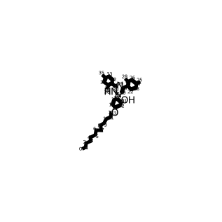 CCCCCCCCCCCCCOc1ccc(N2C=C(c3ccc(C)cc3C)N=C(c3ccc(C)cc3C)N2)c(O)c1